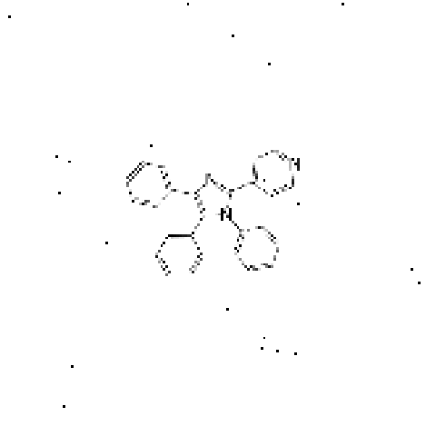 c1ccc(-c2nc(-c3ccncc3)n(-c3ccccc3)c2-c2ccccc2)cc1